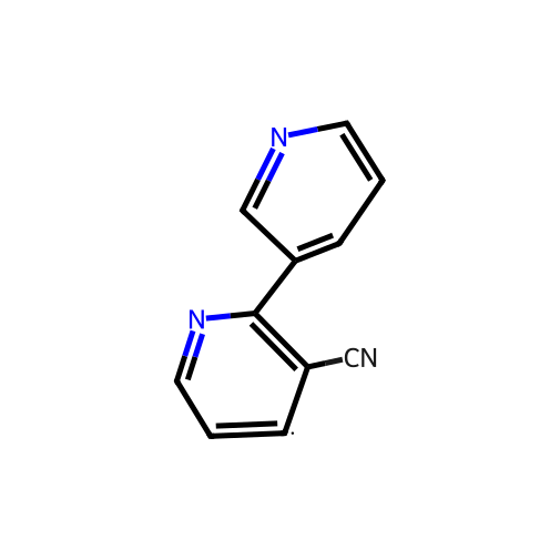 N#Cc1[c]ccnc1-c1cccnc1